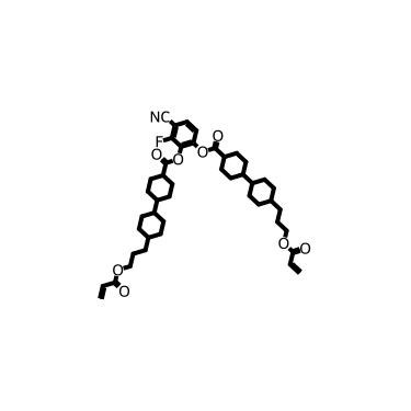 C=CC(=O)OCCCC1CCC(C2CCC(C(=O)Oc3ccc(C#N)c(F)c3OC(=O)C3CCC(C4CCC(CCCOC(=O)C=C)CC4)CC3)CC2)CC1